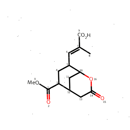 COC(=O)C1CC(C=C(C)C(=O)O)C2CC1CC(=O)O2